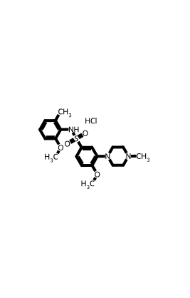 COc1ccc(S(=O)(=O)Nc2c(C)cccc2OC)cc1N1CCN(C)CC1.Cl